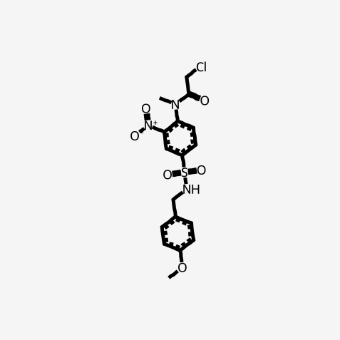 COc1ccc(CNS(=O)(=O)c2ccc(N(C)C(=O)CCl)c([N+](=O)[O-])c2)cc1